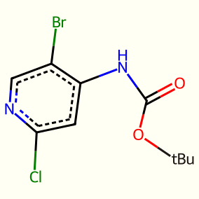 CC(C)(C)OC(=O)Nc1cc(Cl)ncc1Br